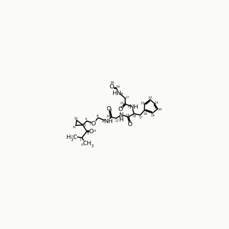 CC(C)C(=O)C1(COCNC(=O)CNC(=O)C(Cc2ccccc2)NC(=O)CNC=O)CC1